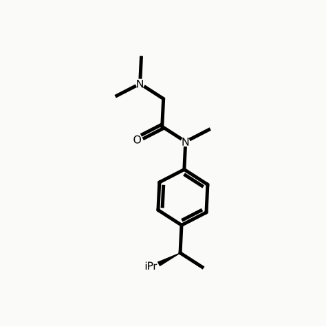 CC(C)[C@H](C)c1ccc(N(C)C(=O)CN(C)C)cc1